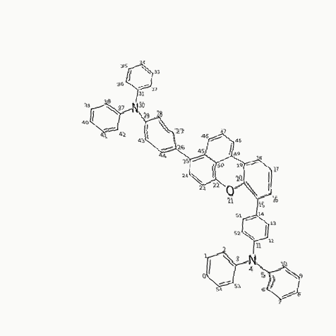 c1ccc(N(c2ccccc2)c2ccc(-c3cccc4c3Oc3ccc(-c5ccc(N(c6ccccc6)c6ccccc6)cc5)c5cccc-4c35)cc2)cc1